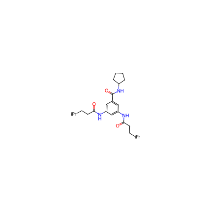 CC(C)CCC(=O)Nc1cc(NC(=O)CCC(C)C)cc(C(=O)NC2CCCC2)c1